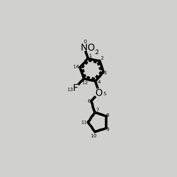 O=[N+]([O-])c1ccc(OCC2CCCC2)c(F)c1